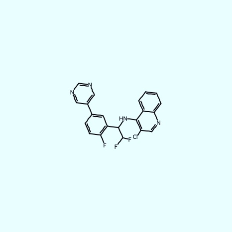 Fc1ccc(-c2cncnc2)cc1C(Nc1c(Cl)cnc2ccccc12)C(F)F